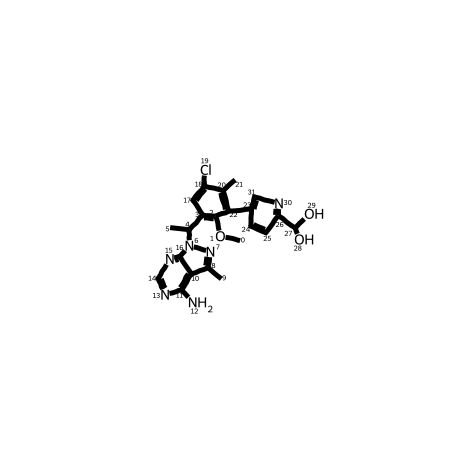 COc1c(C(C)n2nc(C)c3c(N)ncnc32)cc(Cl)c(C)c1-c1ccc(C(O)O)nc1